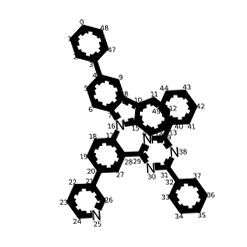 c1ccc(-c2ccc3c(c2)c2ccccc2n3-c2ccc(-c3cccnc3)cc2-c2nc(-c3ccccc3)nc(-c3ccccc3)n2)cc1